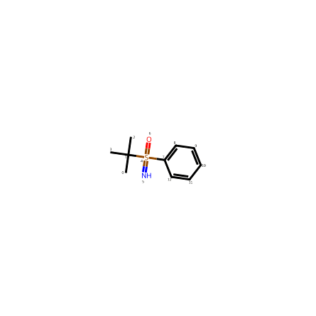 CC(C)(C)S(=N)(=O)c1ccccc1